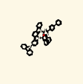 c1ccc(-c2ccc(-c3nc(-c4ccccc4)nc(-n4c5ccccc5c5ccc6c7cc(-n8c9ccccc9c9ccccc98)ccc7n(-c7ccc8ccccc8c7)c6c54)n3)cc2)cc1